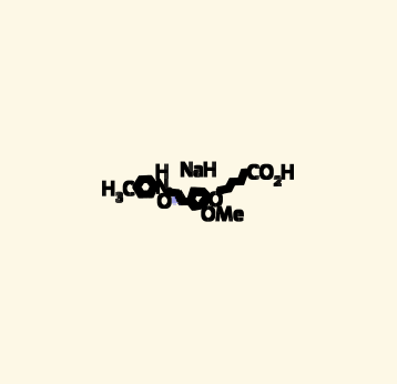 COc1cc(/C=C/C(=O)N[C@H]2CC[C@H](C)CC2)ccc1OCCCCCC(=O)O.[NaH]